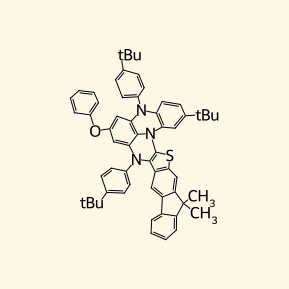 CC(C)(C)c1ccc(N2c3ccc(C(C)(C)C)cc3N3c4sc5cc6c(cc5c4N(c4ccc(C(C)(C)C)cc4)c4cc(Oc5ccccc5)cc2c43)-c2ccccc2C6(C)C)cc1